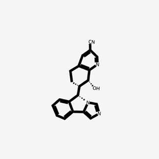 N#Cc1cnc2c(c1)CC[C@@H]([C@H]1c3ccccc3-c3cncn31)[C@H]2O